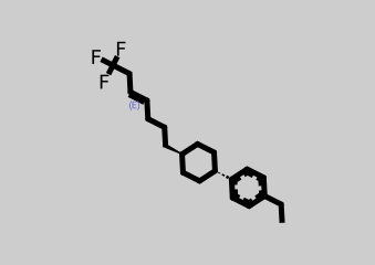 CCc1ccc([C@H]2CC[C@H](CCC/C=C/CC(F)(F)F)CC2)cc1